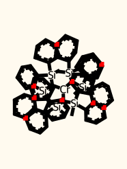 C[Si](c1ccccc1)(c1ccccc1)[CH]([Cr]([CH]([Si](C)(c1ccccc1)c1ccccc1)[Si](C)(c1ccccc1)c1ccccc1)[CH]([Si](C)(c1ccccc1)c1ccccc1)[Si](C)(c1ccccc1)c1ccccc1)[Si](C)(c1ccccc1)c1ccccc1